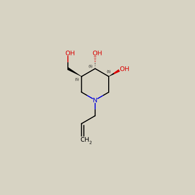 C=CCN1C[C@@H](CO)[C@H](O)[C@@H](O)C1